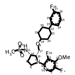 COc1c(F)cnc(N2CC[C@H](NS(C)(=O)=O)[C@@H]2COC2CCC(c3cccc(F)c3)CC2)c1F